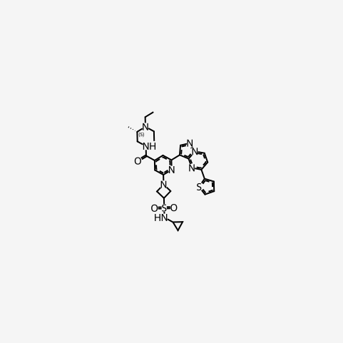 CCN(CC)[C@@H](C)CNC(=O)c1cc(-c2cnn3ccc(-c4cccs4)nc23)nc(N2CC(S(=O)(=O)NC3CC3)C2)c1